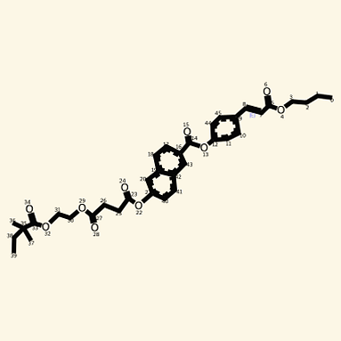 CCCCOC(=O)/C=C/c1ccc(OC(=O)c2ccc3cc(OC(=O)CCC(=O)OCCOC(=O)C(C)(C)CC)ccc3c2)cc1